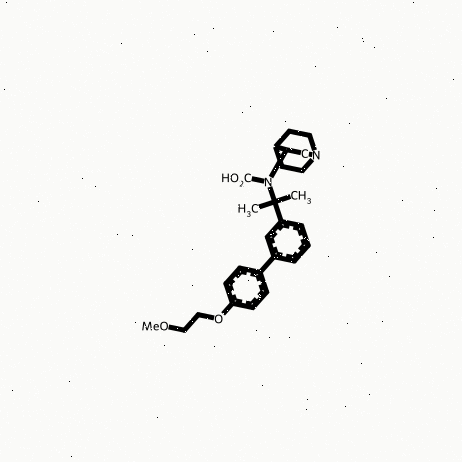 COCCOc1ccc(-c2cccc(C(C)(C)N(C(=O)O)C3CN4CCC3CC4)c2)cc1